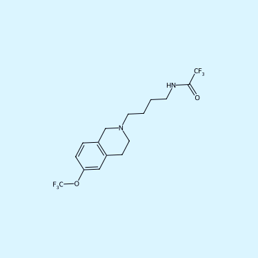 O=C(NCCCCN1CCc2cc(OC(F)(F)F)ccc2C1)C(F)(F)F